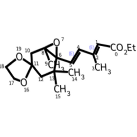 CCOC(=O)/C=C(C)/C=C/C12OC1(C)CC1(CC2(C)C)OCCO1